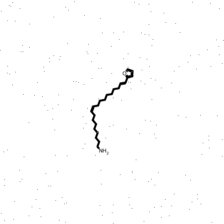 NCCCCCCCC/C=C\CCCCCCCC=Cc1ccco1